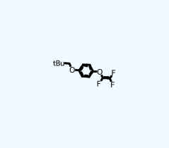 CC(C)(C)COc1ccc(OC(F)=C(F)F)cc1